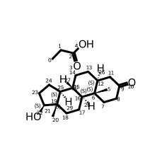 CCC(=O)O.C[C@]12CCC(=O)C[C@@H]1CC[C@@H]1[C@@H]2CC[C@]2(C)[C@@H](O)CC[C@@H]12